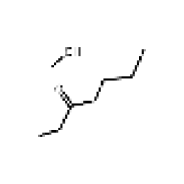 CCCCC(=O)CC.CO